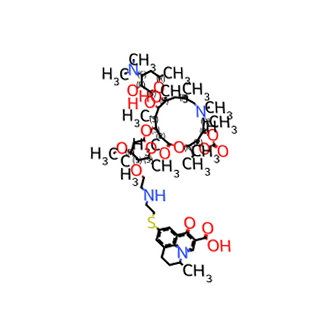 CC[C@H]1OC(=O)[C@H](C)[C@@H](OC2C[C@@](C)(OC)[C@@H](OCCNCCSc3cc4c5c(c3)c(=O)c(C(=O)O)cn5C(C)CC4)[C@H](C)O2)[C@H](C)C(O[C@@H]2O[C@H](C)C[C@H](N(C)C)[C@H]2O)[C@](C)(O)C[C@@H](C)CN(C)[C@H](C)[C@@H]2OC(=O)O[C@]12C